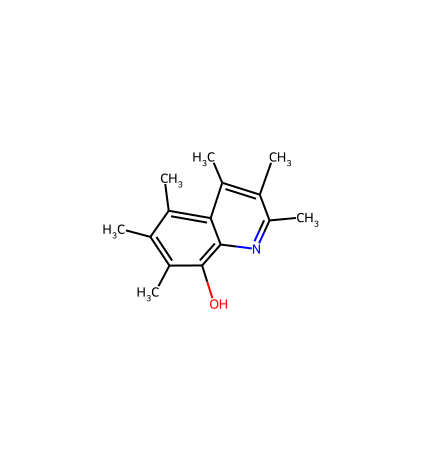 Cc1nc2c(O)c(C)c(C)c(C)c2c(C)c1C